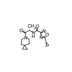 C[C@H](NC(=O)c1noc(C2CC2)n1)C(=O)N1CCC2(CC1)CC2